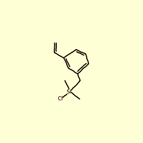 C=Cc1cccc(C[Si](C)(C)Cl)c1